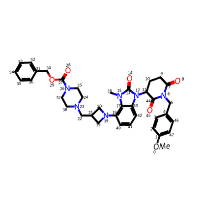 COc1ccc(CN2C(=O)CCC(n3c(=O)n(C)c4c(N5CC(CN6CCN(C(=O)OCc7ccccc7)CC6)C5)cccc43)C2=O)cc1